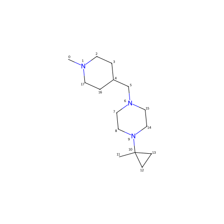 CN1CCC(CN2CCN(C3(C)CC3)CC2)CC1